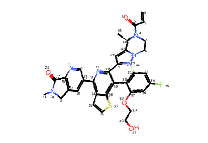 C=CC(=O)N1CCn2nc(-c3nc(-c4cnc5c(c4)CN(C)C5=O)c4ccsc4c3-c3c(F)cc(F)cc3OCCO)cc2[C@H]1C